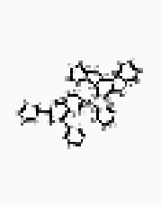 c1ccc(-c2nc(-c3ccccc3)c3cc(-n4c5ccccc5c5c6oc7ccccc7c6c6oc7ccccc7c6c54)ccc3n2)cc1